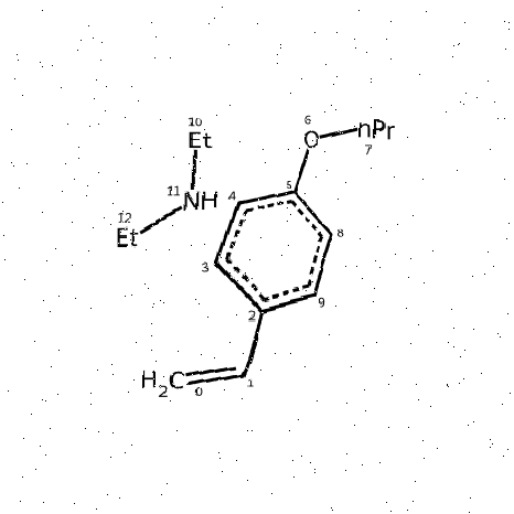 C=Cc1ccc(OCCC)cc1.CCNCC